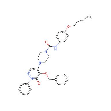 CCCCOc1ccc(NC(=O)N2CCN(c3cnn(-c4ccccc4)c(=O)c3OCc3ccccc3)CC2)cc1